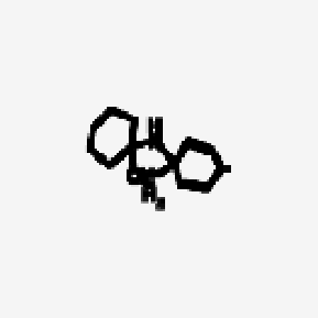 CC1(NC2(O)CCCCC2)C=C[CH]C=C1